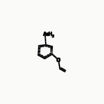 C=COc1cccc([AsH2])c1